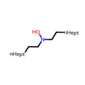 CCCCCCCCCN(O)CCCCCCCCC